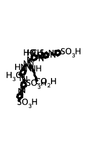 Cc1cc(Nc2nc(NCCCCCC(=O)O)nc(Nc3ccc(N=Nc4ccc(N=Nc5ccc(S(=O)(=O)O)cc5)cc4S(=O)(=O)O)c(C)c3)n2)ccc1N=Nc1ccc(N=Nc2ccc(S(=O)(=O)O)cc2)cc1S(=O)(=O)O